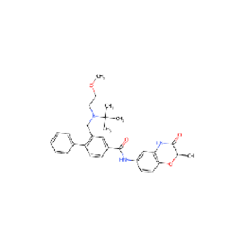 COCCN(Cc1cc(C(=O)Nc2ccc3c(c2)NC(=O)C(C)O3)ccc1-c1ccccc1)C(C)(C)C